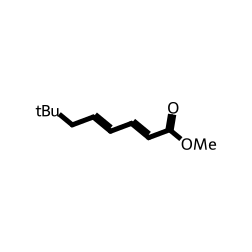 COC(=O)/C=C/C=C/CC(C)(C)C